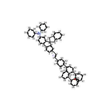 C(=C\c1ccc2c(c1)C1(Cc3ccccc3C1)c1cc(N(c3ccccc3)c3ccccc3)ccc1-2)/c1ccc(-c2ccc(-c3ccccc3)c3c(-c4ccccc4)cccc23)cc1